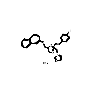 Cl.Clc1ccc(CCC2(Cn3ccnc3)OCC(CSc3ccc4ccccc4c3)O2)cc1